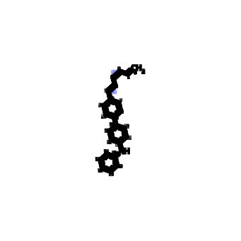 C=C/C=C\C=C\c1ccc(-c2ccc(Nc3ccccc3)cc2)cc1